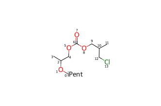 CCCC(C)OC(C)COC(=O)OCC(C)CCl